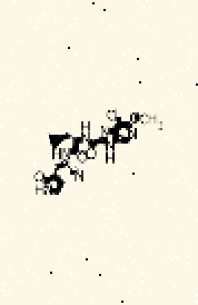 COc1ncc2[nH]c(C(=O)N[C@@H](CC3CC3)C(=O)N[C@H](C#N)C[C@@H]3CCNC3=O)nc2c1Cl